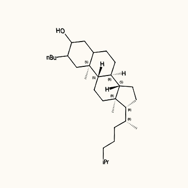 CCCCC1C[C@@]2(C)C(CC[C@H]3[C@@H]4CC[C@H]([C@H](C)CCCC(C)C)[C@@]4(C)CC[C@@H]32)CC1O